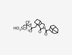 O=C(CC12CCC(C1)C1CN(C(=O)C3C4CC5CC(C4)CC3C5)C(=O)C12)OC(CS(=O)(=O)O)(C(F)(F)F)C(F)(F)F